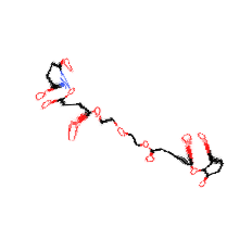 O=C(CCC(=O)OC1C(=O)CCC1=O)OCCOCCOC(=O)CCC(=O)ON1C(=O)CCC1=O